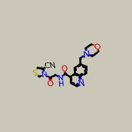 N#C[C@@H]1CSCN1C(=O)CNC(=O)c1ccnc2ccc(CN3CCOCC3)cc12